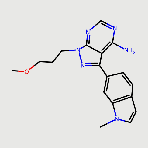 COCCCn1nc(-c2ccc3ccn(C)c3c2)c2c(N)ncnc21